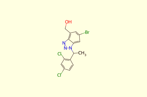 CC(c1ccc(Cl)cc1Cl)n1nnc2c(CO)cc(Br)cc21